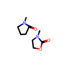 CN1CCCC1=O.CN1CCOC1=O